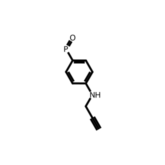 C#CCNc1ccc(P=O)cc1